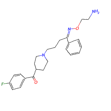 NCCO/N=C(/CCCN1CCC(C(=O)c2ccc(F)cc2)CC1)c1ccccc1